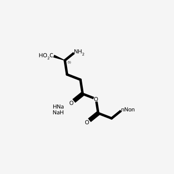 CCCCCCCCCCC(=O)OC(=O)CC[C@H](N)C(=O)O.[NaH].[NaH]